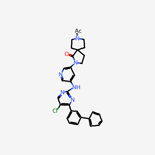 CC(=O)N1CCC2(CC1)CCN(c1cncc(Nc3ncc(Cl)c(-c4cccc(-c5ccccc5)c4)n3)c1)C2=O